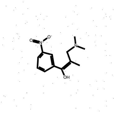 C/C(CN(C)C)=C(\O)c1cccc([N+](=O)[O-])c1